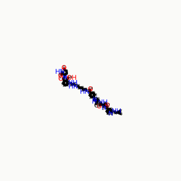 O=C1CCC(N2C(=O)c3cccc(NCCNCCCCCNC(=O)c4ccc(-n5cc(NC(=O)c6coc(-c7ccnc(NCC8CC8)c7)n6)c(C(F)(F)F)n5)cc4)c3C2O)C(=O)N1